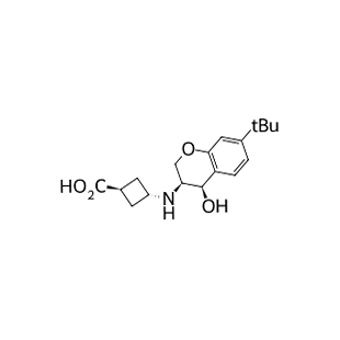 CC(C)(C)c1ccc2c(c1)OC[C@H](N[C@H]1C[C@H](C(=O)O)C1)[C@@H]2O